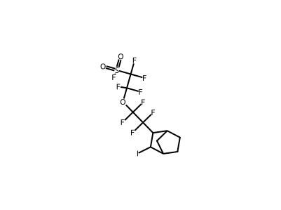 O=S(=O)(F)C(F)(F)C(F)(F)OC(F)(F)C(F)(F)C1C2CCC(C2)C1I